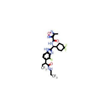 Cc1nonc1C(=O)N[C@H](c1nc2c(F)c(C(CC(F)(F)F)C(=O)NCCC(F)(F)F)ccc2[nH]1)C1CCC(F)(F)CC1